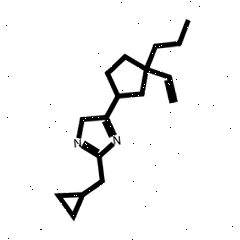 C=CC1(CCC)CCC(C2=NC(CC3CC3)=NC2)C1